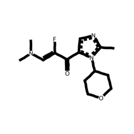 Cc1ncc(C(=O)C(F)=CN(C)C)n1C1CCOCC1